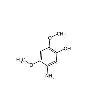 COc1cc(OC)c(O)cc1N